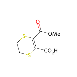 COC(=O)C1=C(C(=O)O)SCCS1